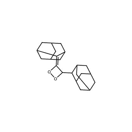 C1C2CC3CC1CC(C2)C3=C1OOC1C1C2CC3CC(C2)CC1C3